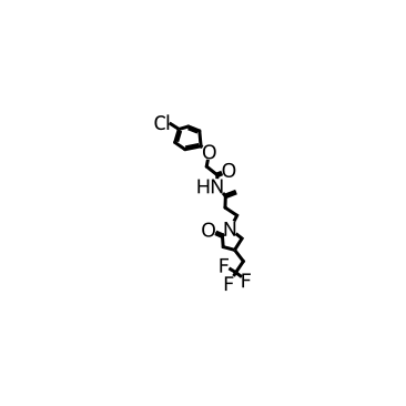 C=C(CCN1CC(CC(F)(F)F)CC1=O)NC(=O)COc1ccc(Cl)cc1